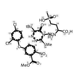 COC(=O)c1cc(Oc2ccc(Cl)cc2Cl)ccc1[N+](=O)[O-].CP(=O)(O)CCC(N)C(=O)O.CSc1nnc(C(C)(C)C)c(=O)n1N